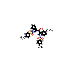 COc1ccc2c(c1)c(C(O)c1cn(S(=O)(=O)c3ccc(C)cc3)c3ccccc13)cn2S(=O)(=O)c1ccc(C)cc1